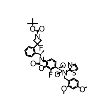 COc1ccc(CN(c2nccs2)S(=O)(=O)c2ccc3c(oc(=O)n3[C@H](C)c3ccccc3C3(F)CN(C(=O)OC(C)(C)C)C3)c2F)c(OC)c1